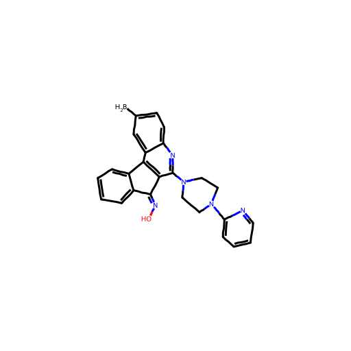 Bc1ccc2nc(N3CCN(c4ccccn4)CC3)c3c(c2c1)-c1ccccc1/C3=N\O